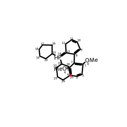 COc1cccc(OC)c1C1=CC=CCC1=[PH](C1CCCCC1)C1CCCCC1